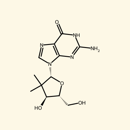 CC1(C)[C@H](O)[C@@H](CO)O[C@H]1n1cnc2c(=O)[nH]c(N)nc21